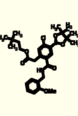 COc1ccccc1CNC(=O)c1cc(B2OC(C)(C)C(C)(C)O2)c(Cl)cc1CC(=O)OCC[Si](C)(C)C